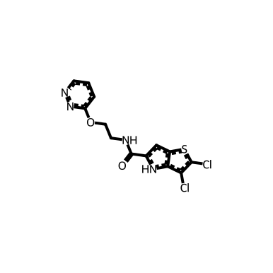 O=C(NCCOc1cccnn1)c1cc2sc(Cl)c(Cl)c2[nH]1